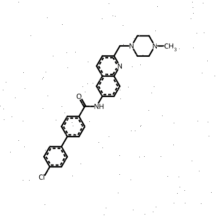 CN1CCN(Cc2ccc3cc(NC(=O)c4ccc(-c5ccc(Cl)cc5)cc4)ccc3n2)CC1